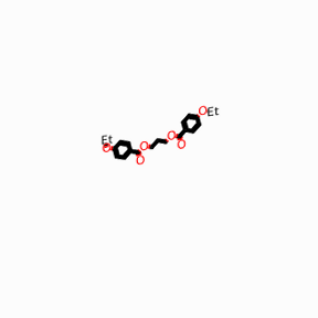 CCOc1ccc(C(=O)OCCCOC(=O)c2ccc(OCC)cc2)cc1